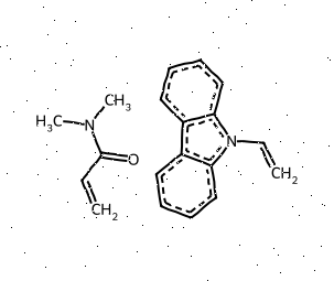 C=CC(=O)N(C)C.C=Cn1c2ccccc2c2ccccc21